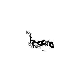 Nc1ncnn2c(CCCCBr)cc(-c3ccc4nn(Cc5ccccc5)cc4c3)c12